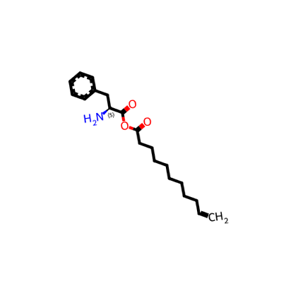 C=CCCCCCCCCC(=O)OC(=O)[C@@H](N)Cc1ccccc1